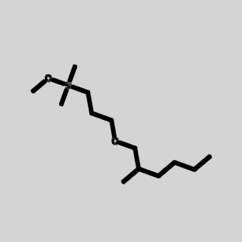 CCCCC(C)COCCC[Si](C)(C)OC